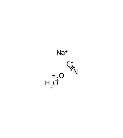 O.O.[C-]#N.[Na+]